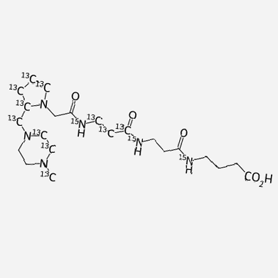 [13CH3]N1CCN([13CH2][13CH]2[13CH2][13CH2][13CH2]N2CC(=O)[15NH][13CH2][13CH2][13C](=O)[15NH]CCC(=O)[15NH]CCCC(=O)O)[13CH2][13CH2]1